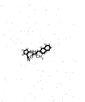 C/C(=C\c1ccc2ccccc2c1)C(=O)NC1=C(C#N)CCC1